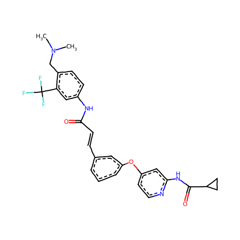 CN(C)Cc1ccc(NC(=O)/C=C/c2cccc(Oc3ccnc(NC(=O)C4CC4)c3)c2)cc1C(F)(F)F